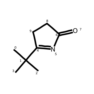 CC(C)(C)C1=NC(=O)CC1